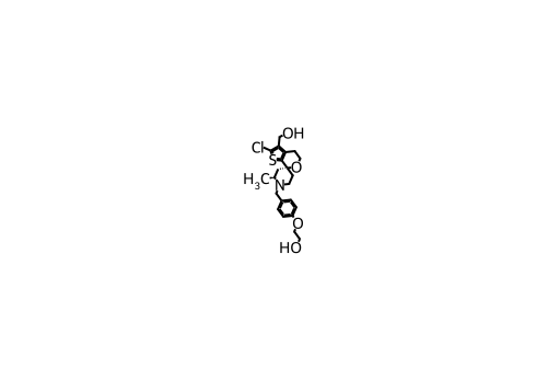 C[C@H]1C[C@@]2(CCN1Cc1ccc(OCCO)cc1)OCCc1c2sc(Cl)c1CO